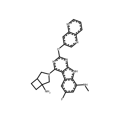 CNc1cc(F)cc2c1[nH]c1nc(Oc3cnc4cccnc4c3)nc(N3CC4CCC4(N)C3)c12